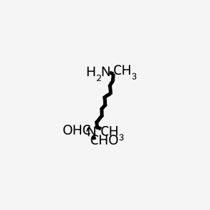 CC(N)CCCCCCCCC(C)N(C=O)C=O